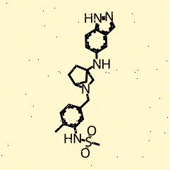 Cc1ccc(CN2CC3(Nc4ccc5[nH]ncc5c4)CCC2C3)cc1NS(C)(=O)=O